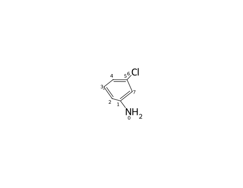 Nc1c[c]cc(Cl)c1